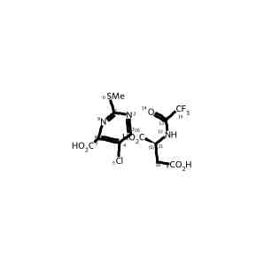 CSc1ncc(Cl)c(C(=O)O)n1.O=C(O)C[C@H](NC(=O)C(F)(F)F)C(=O)O